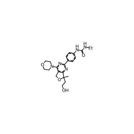 CCNC(=O)Nc1ccc(-c2nc(N3CCOCC3)c3c(n2)C(C)(CCO)OC3)cc1